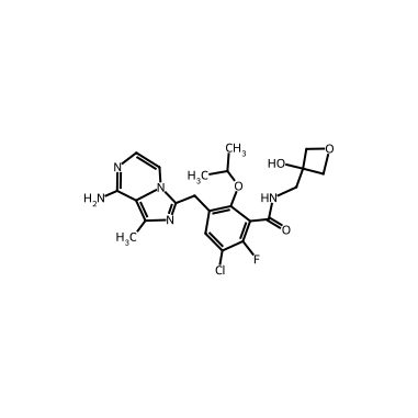 Cc1nc(Cc2cc(Cl)c(F)c(C(=O)NCC3(O)COC3)c2OC(C)C)n2ccnc(N)c12